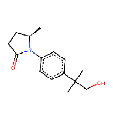 C[C@@H]1CCC(=O)N1c1ccc(C(C)(C)CO)cc1